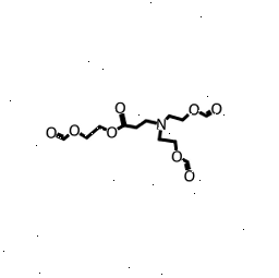 O=COCCOC(=O)CCN(CCOC=O)CCOC=O